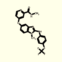 CNC(=O)c1cc(Oc2ccc3c(c2)nc(Nc2ccc(SC(F)(F)F)cc2)n3C)ccn1